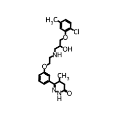 Cc1ccc(Cl)c(OCC(O)CNCCOc2cccc(C3=NNC(=O)CC3C)c2)c1